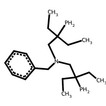 CCC(P)(CC)CN(Cc1ccccc1)CC(P)(CC)CC